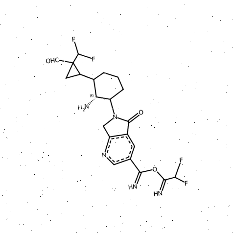 N=C(OC(=N)C(F)F)c1cnc2c(c1)C(=O)N(C1CCCC(C3CC3(C=O)C(F)F)[C@H]1N)C2